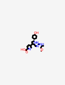 COCC(C)Nc1ncc2c(-c3ccc(C(=O)O)nc3)cc([C@H]3CC[C@H](O)CC3)n2n1